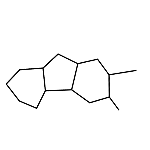 CC1CC2CC3CCCCC3C2CC1C